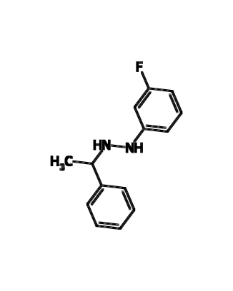 CC(NNc1cccc(F)c1)c1ccccc1